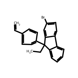 C=Cc1ccc(C2(CC)c3ccccc3-c3ccc(Br)cc32)cc1